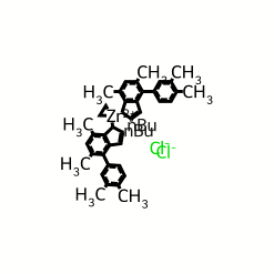 CCCCC1=Cc2c(-c3ccc(C)c(C)c3)c(C)cc(C)c2[CH]1[Zr+2]1([CH]2C(CCCC)=Cc3c(-c4ccc(C)c(C)c4)c(C)cc(C)c32)[CH2][CH2]1.[Cl-].[Cl-]